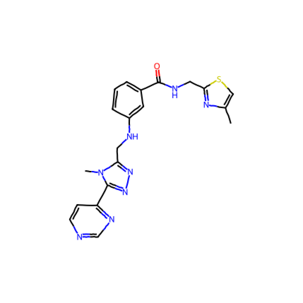 Cc1csc(CNC(=O)c2cccc(NCc3nnc(-c4ccncn4)n3C)c2)n1